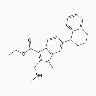 CCOC(=O)c1c(CNC)n(C)c2cc(C3CCCc4ccccc43)ccc12